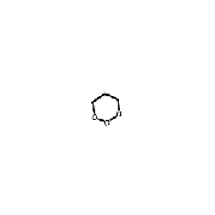 [CH]1COOOC1